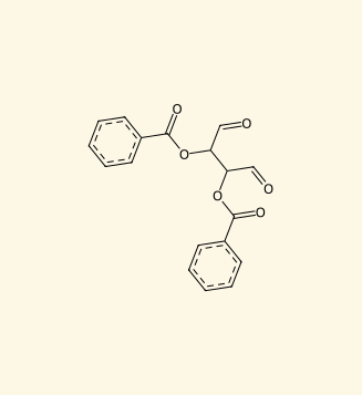 O=CC(OC(=O)c1ccccc1)C(C=O)OC(=O)c1ccccc1